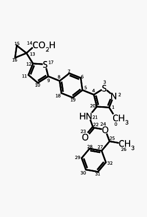 Cc1nsc(-c2ccc(-c3ccc(C4(C(=O)O)CC4)s3)cc2)c1NC(=O)OC(C)c1ccccc1